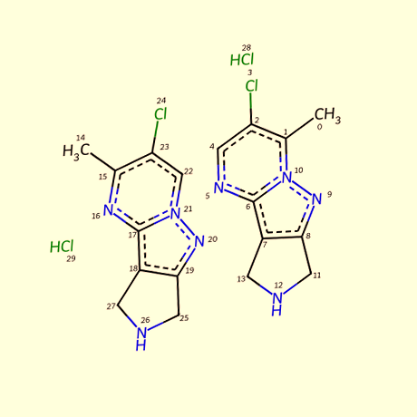 Cc1c(Cl)cnc2c3c(nn12)CNC3.Cc1nc2c3c(nn2cc1Cl)CNC3.Cl.Cl